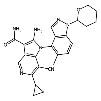 Cc1ccc2c(cnn2C2CCCCO2)c1-n1c(N)c(C(N)=O)c2cnc(C3CC3)c(C#N)c21